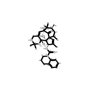 CC1=CC23C(=O)[C@@H](C=C4COC(C)(C)O[C@H]4[C@]2(O)[C@H]1OC(=O)N1CCCc2ccccc21)C(C)(C)[C@@H](C)CC3C